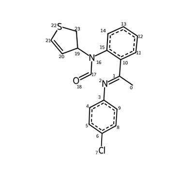 C/C(=N\c1ccc(Cl)cc1)c1ccccc1N(C=O)C1C=CSC1